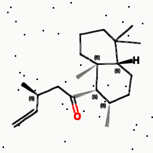 C=C[C@@H](C)CC(=O)[C@H]1[C@@H](C)CC[C@H]2C(C)(C)CCC[C@]12C